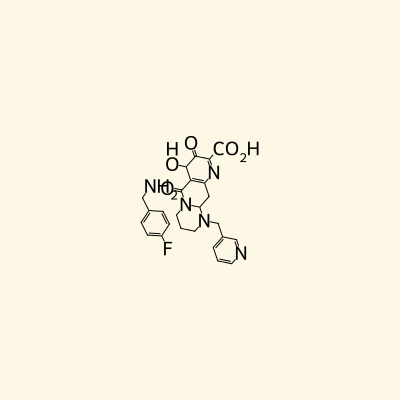 NCc1ccc(F)cc1.O=C(O)C1=NC2=C(C(=O)N3CCCN(Cc4cccnc4)C3C2)C(O)C1=O